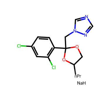 CCCC1COC(Cn2cncn2)(c2ccc(Cl)cc2Cl)O1.[NaH]